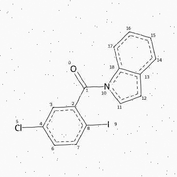 O=C(c1cc(Cl)ccc1I)n1ccc2ccccc21